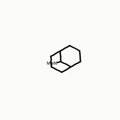 CNC1C2CCCC1CCC2